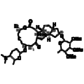 CC[C@H]1CCC[C@H](OC2CCC(N(C)C)C(C)O2)[C@@H](C)C(=O)C2=C[C@@H]3[C@@H](C=C[C@@H]4C[C@@H](OC5OC(C)C(OC)C(OC)C5OC)C[C@@H]34)[C@@H]2CC(=O)O1